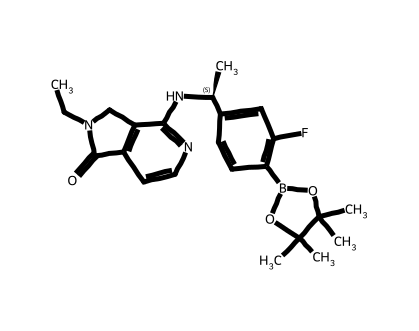 CCN1Cc2c(ccnc2N[C@@H](C)c2ccc(B3OC(C)(C)C(C)(C)O3)c(F)c2)C1=O